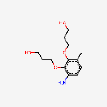 Cc1ccc(N)c(OCCCO)c1OCCCO